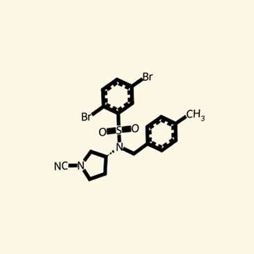 Cc1ccc(CN([C@@H]2CCN(C#N)C2)S(=O)(=O)c2cc(Br)ccc2Br)cc1